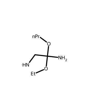 CCCOC(N)(C[NH])OCC